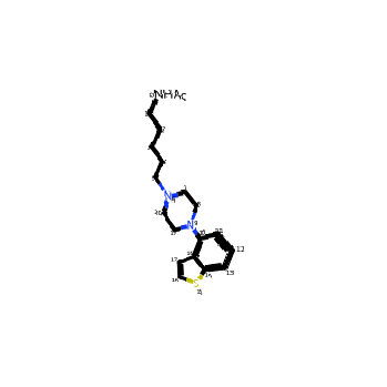 CC(=O)NCCCCCN1CCN(c2cccc3sccc23)CC1